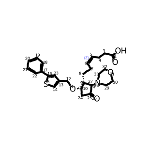 O=C(O)CC/C=C\CC[C@H]1[C@@H](OCc2csc(-c3ccccc3)c2)CC(=O)[C@@H]1N1CCOCC1